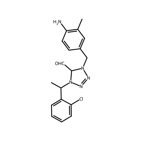 Cc1cc(CN2N=NN(C(C)c3ccccc3Cl)C2C=O)ccc1N